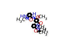 COc1cc(C(=O)N(C)c2ccccc2C2=NC(C)(C)CO2)ccc1NC(=O)c1cccc2[nH]c(C)nc12